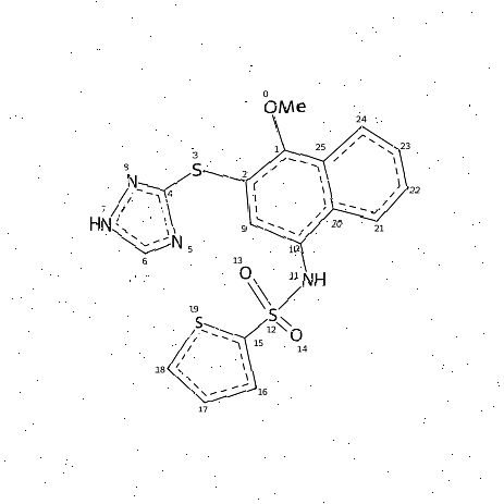 COc1c(Sc2nc[nH]n2)cc(NS(=O)(=O)c2cccs2)c2ccccc12